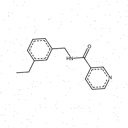 CCc1cccc(CNC(=O)c2cccnc2)c1